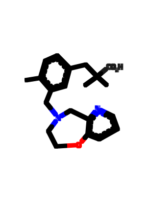 Cc1ccc(CC(C)(C)C(=O)O)cc1CN1CCOc2cccnc2C1